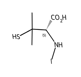 CC(C)(S)[C@@H](NI)C(=O)O